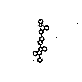 c1ccc(-c2cc3c4ccccc4c(-c4ccc5cc(-c6ccc7c(c6)c6ccccc6n6c8ccccc8nc76)ccc5c4)cc3c3ccccc23)cc1